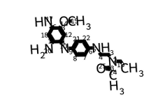 CCN(CCNc1ccc(N=C2C=C(OC)C(=N)C=C2N)cc1)C(C)=O